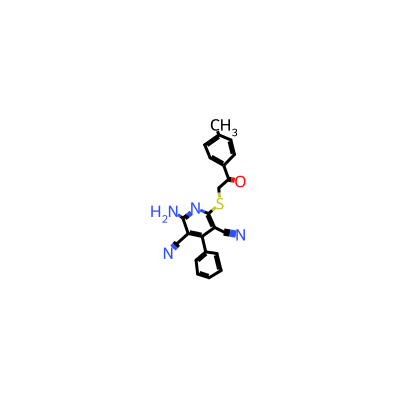 Cc1ccc(C(=O)CSc2nc(N)c(C#N)c(-c3ccccc3)c2C#N)cc1